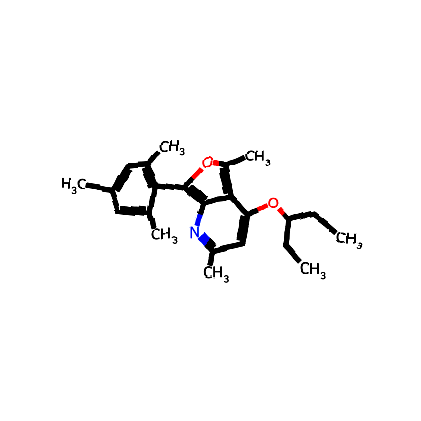 CCC(CC)Oc1cc(C)nc2c(-c3c(C)cc(C)cc3C)oc(C)c12